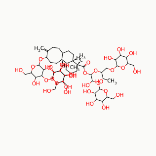 C=C1CCC2CC[C@H]3[C@@](C)(CCC[C@@]3(C)C(=O)OC(OC(COC3OC(CO)C(O)C(O)C3O)C(C)O)C(O)OC3OC(CO)C(O)C(O)C3O)[C@@H]2CCC1OC1OC(CO)C(O)C(OC2OC(CO)C(O)C(O)C2O)C1OC1OC(CO)C(O)C(O)C1O